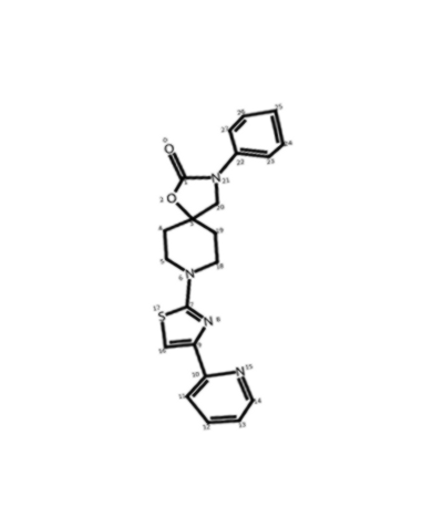 O=C1OC2(CCN(c3nc(-c4ccccn4)cs3)CC2)CN1c1ccccc1